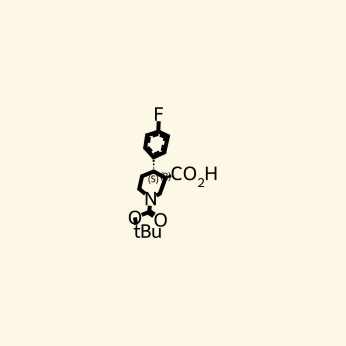 CC(C)(C)OC(=O)N1CC[C@H](c2ccc(F)cc2)[C@@H](C(=O)O)C1